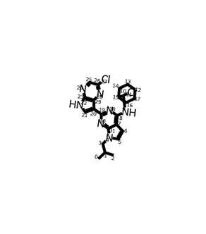 CC(C)Cn1ccc2c(NC3CC4CCC3CC4)nc(-c3c[nH]c4ncc(Cl)nc34)nc21